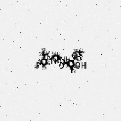 CC1(C)COC(c2cc(C(=O)Nc3ccc(N4CC(C)(C)c5cc(F)ccc54)nc3)cc(F)c2O)OC1